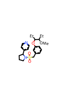 CCC(OC)C(CC)Oc1cccc(CS(=O)(=O)N2CCCC2c2ccncc2)c1